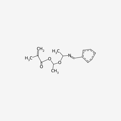 C=C(C)C(=O)OC(C)OC(C)N=Cc1ccccc1